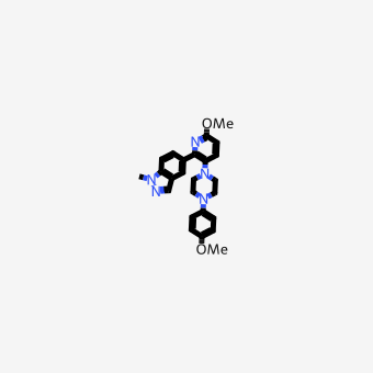 COc1ccc(N2CCN(c3ccc(OC)nc3-c3ccc4c(cnn4C)c3)CC2)cc1